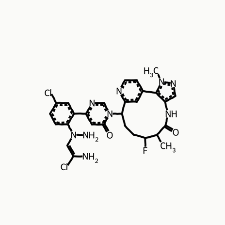 CC1C(=O)Nc2cnn(C)c2-c2ccnc(c2)C(n2cnc(-c3cc(Cl)ccc3N(N)/C=C(\N)Cl)cc2=O)CCC1F